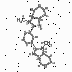 Cn1c(-c2cccc(-c3nc4ccccc4n3C)c2)nc2ccccc21